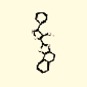 FC(F)(F)c1c(-c2ccccc2)noc1-c1nc2c(o1)-c1cc[c]cc1CC2